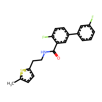 Cc1ccc(CCNC(=O)c2cc(-c3cccc(F)c3)ccc2F)s1